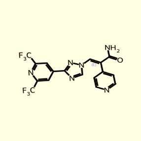 NC(=O)/C(=C/n1cnc(-c2cc(C(F)(F)F)nc(C(F)(F)F)c2)n1)c1ccncc1